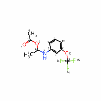 CC(=O)OC(C)Nc1cccc(OC(F)(F)F)c1